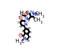 Cc1nn(C)c(C)c1CN1C(=O)COc2ccc(-c3ccc4c(c3)C(=O)N(C)CC4)nc21